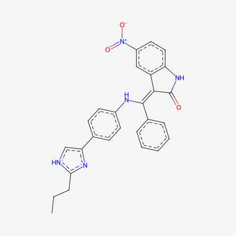 CCCc1nc(-c2ccc(NC(=C3C(=O)Nc4ccc([N+](=O)[O-])cc43)c3ccccc3)cc2)c[nH]1